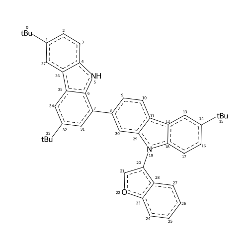 CC(C)(C)c1ccc2[nH]c3c(-c4ccc5c6cc(C(C)(C)C)ccc6n(-c6coc7ccccc67)c5c4)cc(C(C)(C)C)cc3c2c1